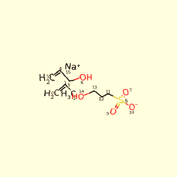 C=CC.C=CCO.O=S(=O)([O-])CCCO.[Na+]